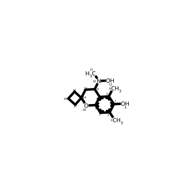 Cc1cc2c(c(C)c1O)C(N(C)O)CC1(CCC1)O2